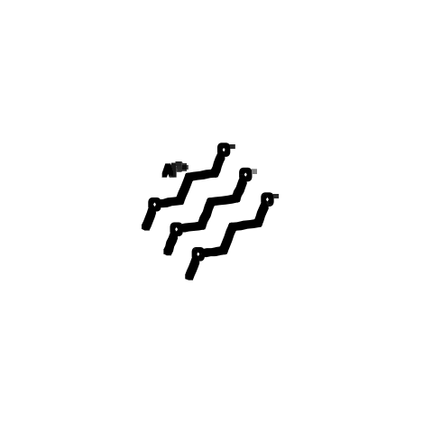 COCCC[O-].COCCC[O-].COCCC[O-].[Al+3]